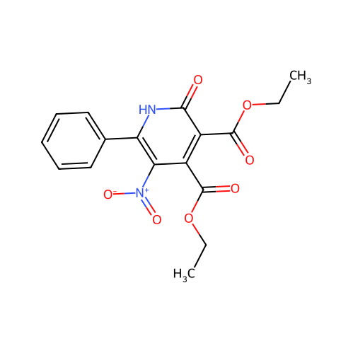 CCOC(=O)c1c([N+](=O)[O-])c(-c2ccccc2)[nH]c(=O)c1C(=O)OCC